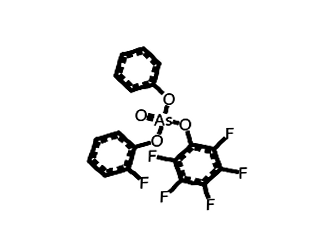 O=[As](Oc1ccccc1)(Oc1ccccc1F)Oc1c(F)c(F)c(F)c(F)c1F